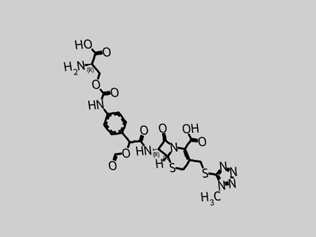 Cn1nnnc1SCC1=C(C(=O)O)N2C(=O)[C@@H](NC(=O)C(OC=O)c3ccc(NC(=O)OC[C@@H](N)C(=O)O)cc3)[C@H]2SC1